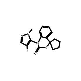 Cn1ncc(I)c1N1C(=O)OC2(CCCC2)c2ccccc21